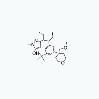 CCC(c1cc(C(C)(C)C)cc(C2(COC)CCOCC2)c1)C(CC)c1cc(O)n(C)n1